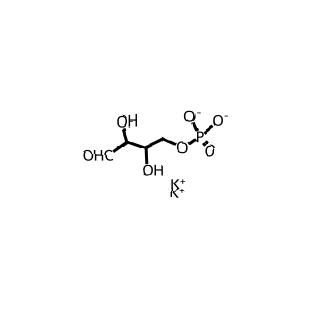 O=CC(O)C(O)COP(=O)([O-])[O-].[K+].[K+]